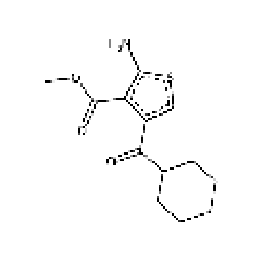 COC(=O)c1c(C(=O)C2CCCCC2)csc1N